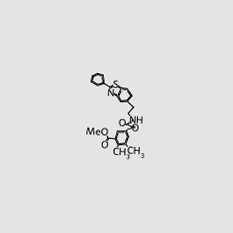 COC(=O)c1cc(S(=O)(=O)NCCc2ccc3sc(-c4ccccc4)nc3c2)cc(C)c1C